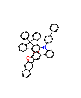 C1=CC2=Cc3oc4ccc(-c5ccccc5N(c5ccc(-c6ccccc6)cc5)c5ccc6c(c5)C(c5ccccc5)(c5ccccc5)c5ccccc5-6)cc4c3CC2C=C1